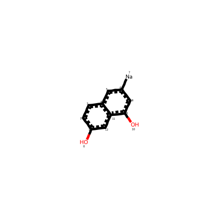 Oc1ccc2c[c]([Na])cc(O)c2c1